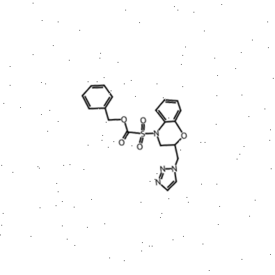 O=C(OCc1ccccc1)S(=O)(=O)N1CC(Cn2ccnn2)Oc2ccccc21